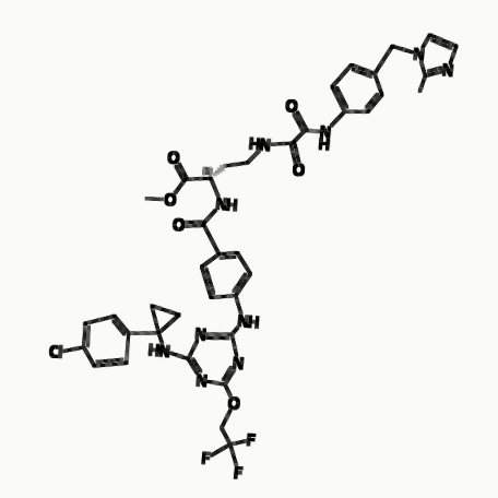 COC(=O)[C@H](CCNC(=O)C(=O)Nc1ccc(Cn2ccnc2C)cc1)NC(=O)c1ccc(Nc2nc(NC3(c4ccc(Cl)cc4)CC3)nc(OCC(F)(F)F)n2)cc1